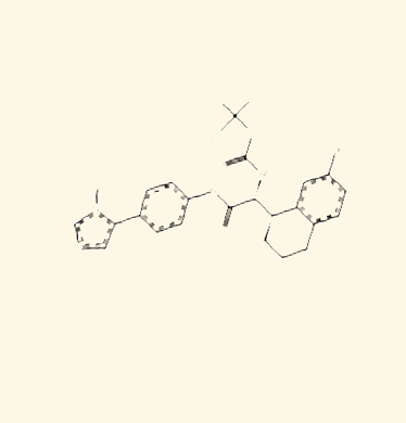 Cn1cncc1-c1ccc(NC(=O)[C@@H](NC(=O)OC(C)(C)C)[C@@H]2CCCc3ccc(Br)cc32)cc1